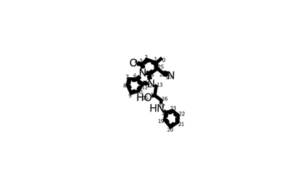 Cc1cc(=O)n2c3ccccc3n(CC(O)CNc3ccccc3)c2c1C#N